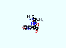 Cc1cc(C)c(CNC(=O)c2cc(-c3ccc(N4CCOCC4)nc3)cc3c2CCC3=O)c(=O)[nH]1